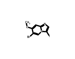 COc1cc2ncc(I)n2cc1Br